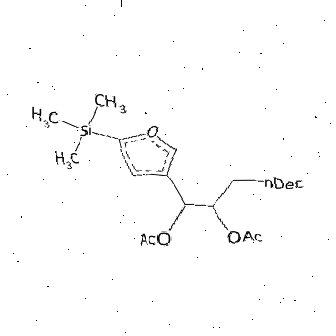 CCCCCCCCCCCC(OC(C)=O)C(OC(C)=O)c1coc([Si](C)(C)C)c1